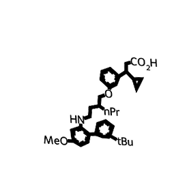 CCCC(CCNc1cc(OC)ccc1-c1cccc(C(C)(C)C)c1)COc1cccc(C(CC(=O)O)C2CC2)c1